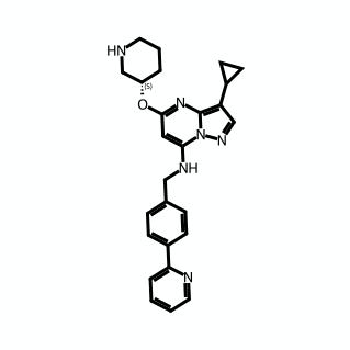 c1ccc(-c2ccc(CNc3cc(O[C@H]4CCCNC4)nc4c(C5CC5)cnn34)cc2)nc1